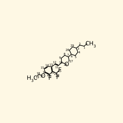 CCCC1CCC(C2CCC(/C=C/c3ccc(OCC)c(F)c3C(F)F)OC2)CC1